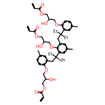 C=CC(=O)OCC(O)COc1ccc(C)cc1CC(CC)(CCC)c1cc(C)cc(CC(CC)(CC)c2cc(C)ccc2OCC(O)COC(=O)C=C)c1OCC(O)COC(=O)C=C